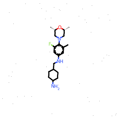 Cc1cc(NCC2CCC(N)CC2)cc(F)c1N1C[C@@H](C)O[C@@H](C)C1